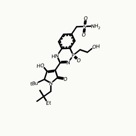 CCC(C)(C)CN1C(=O)C(C2=NP(=O)(CCO)c3cc(CS(N)(=O)=O)ccc3N2)=C(O)C1C(C)(C)C